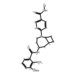 CCNC(=O)c1ccc(N2CCC(NC(=O)c3cccc(OC)c3C)CC3CCC32)nc1